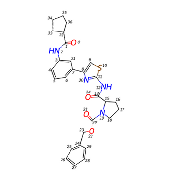 O=C(Nc1cccc(-c2csc(NC(=O)C3CCCN3C(=O)OCc3ccccc3)n2)c1)C1CCCC1